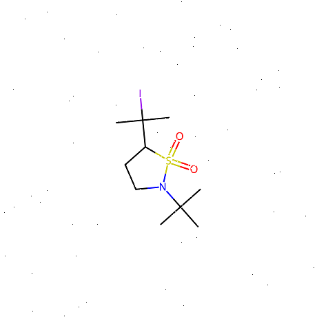 CC(C)(I)C1CCN(C(C)(C)C)S1(=O)=O